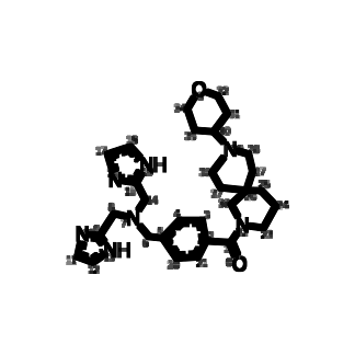 O=C(c1ccc(CN(Cc2ncc[nH]2)Cc2ncc[nH]2)cc1)N1CCCC2(CCN(C3CCOCC3)CC2)C1